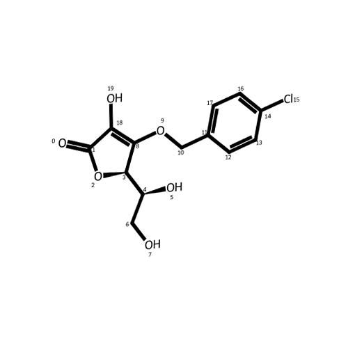 O=C1O[C@H]([C@@H](O)CO)C(OCc2ccc(Cl)cc2)=C1O